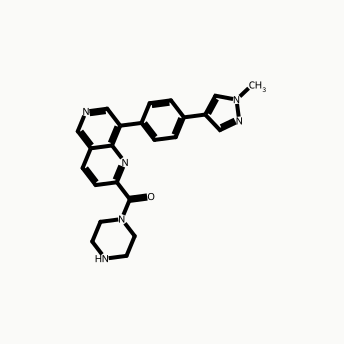 Cn1cc(-c2ccc(-c3cncc4ccc(C(=O)N5CCNCC5)nc34)cc2)cn1